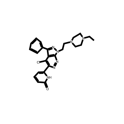 CCN1CCN(CCn2nc(-c3ccccc3)c3c(Cl)c(-c4cccc(=O)[nH]4)nnc32)CC1